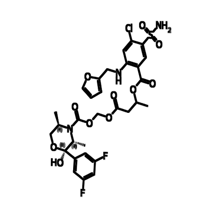 CC(CC(=O)OCOC(=O)N1[C@H](C)CO[C@](O)(c2cc(F)cc(F)c2)[C@H]1C)OC(=O)c1cc(S(N)(=O)=O)c(Cl)cc1NCc1ccco1